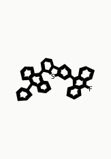 Fc1c2ccccc2c(-c2ccc3c(c2)SC2C(c4c5ccccc5c(-c5ccccc5)c5ccccc45)=CC=CC32)c2ccccc12